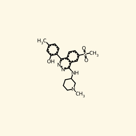 Cc1ccc(-c2nnc(NC3CCCN(C)C3)c3cc(S(C)(=O)=O)ccc23)c(O)c1